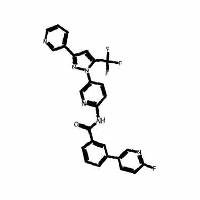 O=C(Nc1ccc(-n2nc(-c3cccnc3)cc2C(F)(F)F)cn1)c1cccc(-c2ccc(F)nc2)c1